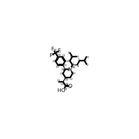 CC(C)CC[C@H](CC(C)C)N1CC[C@@H](C(C)C(=O)O)C[C@H]1c1ccc(C(F)(F)F)cc1